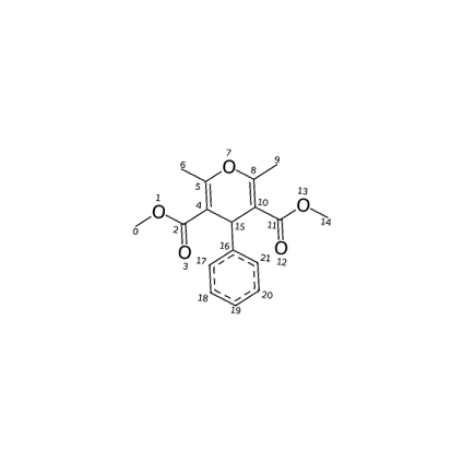 COC(=O)C1=C(C)OC(C)=C(C(=O)OC)C1c1ccccc1